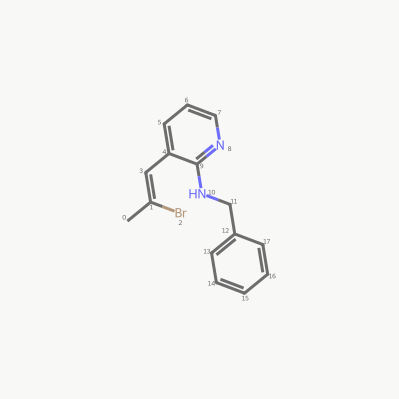 C/C(Br)=C/c1cccnc1NCc1ccccc1